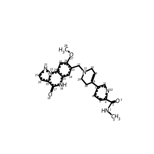 CNC(=O)c1ccc(C2=CCN(Cc3cc4[nH]c(=O)c5ccnn5c4cc3OC)CC2)cn1